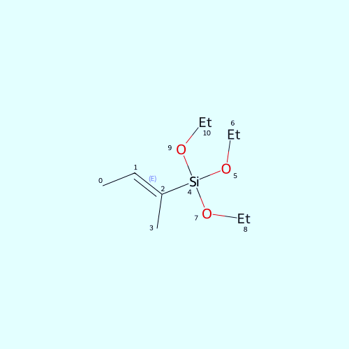 C/C=C(\C)[Si](OCC)(OCC)OCC